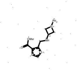 COC(=O)c1ncsc1CNC1CN(P)C1